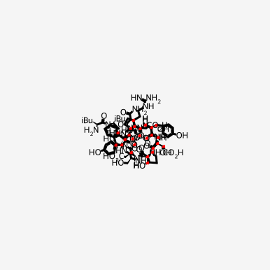 CC[C@H](C)[C@H](N)C(=O)N[C@H](C(=O)N[C@@H](Cc1ccc(O)cc1)C(=O)N1CCC[C@H]1C(=O)N[C@@H](CO)C(=O)N[C@@H](CC(=O)O)C(=O)N[C@@H](CO)C(=O)N[C@@H](CC(=O)O)C(=O)N[C@H](C(=O)N[C@@H](CCCNC(=N)N)C(=O)N[C@@H](Cc1ccc(O)cc1)C(=O)N[C@@H](CO)C(=O)N1CCC[C@H]1C(=O)N[C@@H](CO)C(=O)N[C@@H](Cc1ccccc1)C(=O)N[C@@H](CCC(N)=O)C(=O)NCC(=O)O)[C@@H](C)O)[C@@H](C)CC